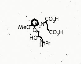 COc1ccccc1OCC(O)CNC(C)C.NC(CCC(=O)O)C(=O)O